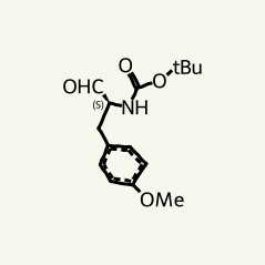 COc1ccc(C[C@@H](C=O)NC(=O)OC(C)(C)C)cc1